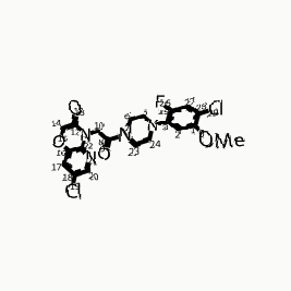 COc1cc(N2CCN(C(=O)CN3C(=O)COc4cc(Cl)cnc43)CC2)c(F)cc1Cl